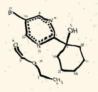 CCOC=O.OC1(c2ncc(Br)cn2)CCCCC1